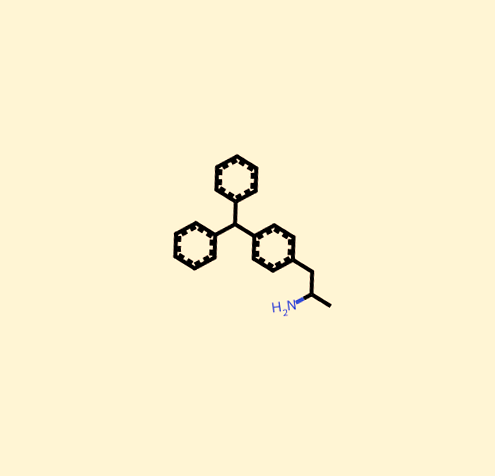 CC(N)Cc1ccc(C(c2ccccc2)c2ccccc2)cc1